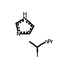 CCCC(C)I.c1c[nH]cn1